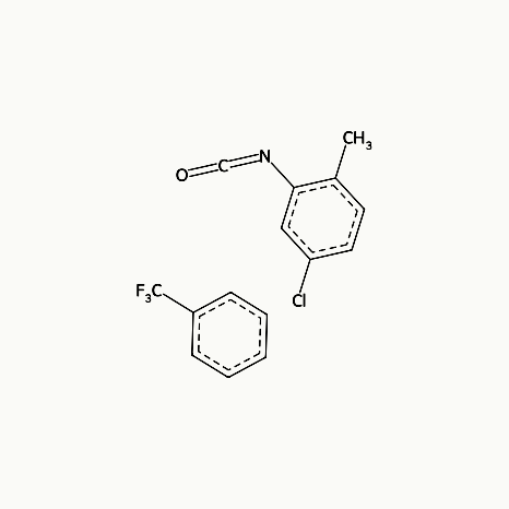 Cc1ccc(Cl)cc1N=C=O.FC(F)(F)c1ccccc1